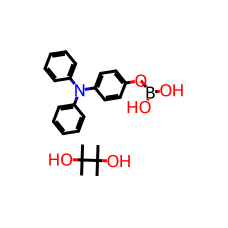 CC(C)(O)C(C)(C)O.OB(O)Oc1ccc(N(c2ccccc2)c2ccccc2)cc1